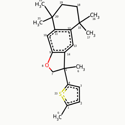 Cc1[c]cc(C2(C)COc3cc4c(cc32)C(C)(C)CCC4(C)C)s1